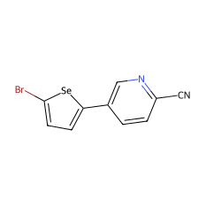 N#Cc1ccc(-c2ccc(Br)[se]2)cn1